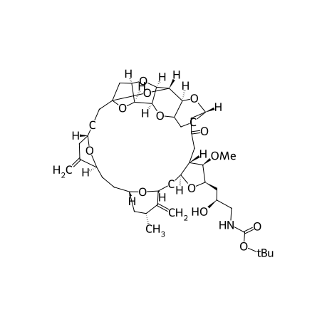 C=C1C[C@@H]2CCC34C[C@H]5O[C@@H]6[C@@H](OC7CC[C@H](CC(=O)C[C@@H]8[C@@H](OC)[C@@H](C[C@H](O)CNC(=O)OC(C)(C)C)O[C@H]8C[C@H]8O[C@@H](CC[C@@H]1O2)C[C@@H](C)C8=C)O[C@@H]7[C@@H]6O3)[C@H]5O4